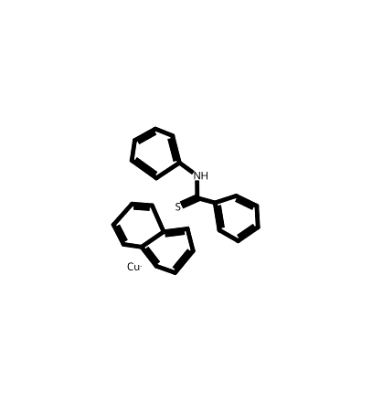 S=C(Nc1ccccc1)c1ccccc1.[Cu].c1ccc2ccccc2c1